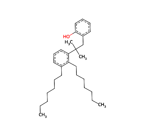 CCCCCCCc1cccc(C(C)(C)Cc2ccccc2O)c1CCCCCCC